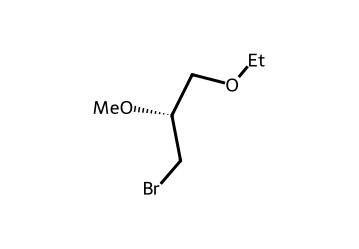 CCOC[C@H](CBr)OC